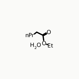 CCCCC(=O)OCC.O